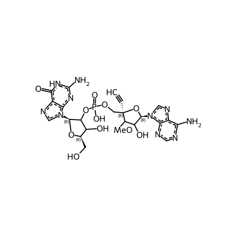 C#C[C@]1(COP(=O)(O)OC2C(O)[C@@H](CO)O[C@H]2n2cnc3c(=O)[nH]c(N)nc32)O[C@@H](n2cnc3c(N)ncnc32)C(O)C1OC